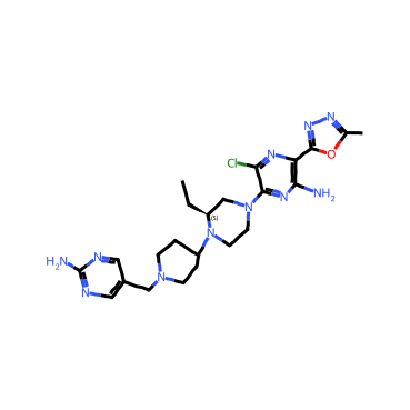 CC[C@H]1CN(c2nc(N)c(-c3nnc(C)o3)nc2Cl)CCN1C1CCN(Cc2cnc(N)nc2)CC1